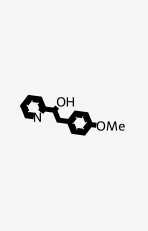 COc1ccc(CC(O)c2ccccn2)cc1